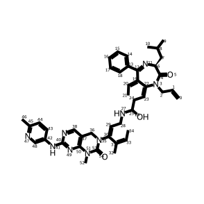 C=CCN1C(=O)[C@H](CC(C)C)N=C(c2ccccc2)C(=C/C)/C1=C\CC(O)NC/C=C(\C(C)=C/C)N1Cc2cnc(Nc3ccc(C)nc3)nc2N(C)C1=O